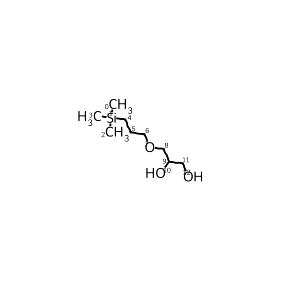 C[Si](C)(C)CCCOCC(O)CO